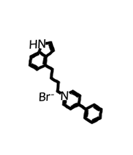 [Br-].c1ccc(-c2cc[n+](CCCCc3cccc4[nH]ccc34)cc2)cc1